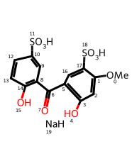 COc1cc(O)c(C(=O)c2cc(S(=O)(=O)O)ccc2O)cc1S(=O)(=O)O.[NaH]